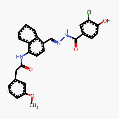 COc1cccc(CC(=O)Nc2ccc(/C=N/NC(=O)c3ccc(O)c(Cl)c3)c3ccccc23)c1